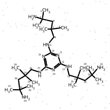 CC(C)(N)CC(C)(C)CNc1nc(NCC(C)(C)CC(C)(C)N)nc(NCC(C)(C)CC(C)(C)N)n1